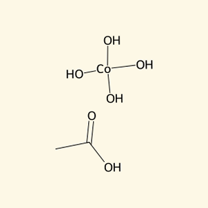 CC(=O)O.[OH][Co]([OH])([OH])[OH]